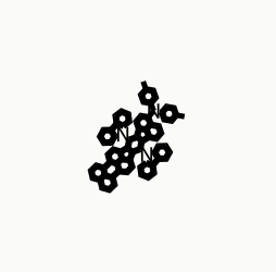 Cc1ccc(N(c2ccc(C)cc2)c2ccc3c4c(-n5c6ccccc6c6ccccc65)c5c6ccc7c8cccc9cccc(c%10ccc(c5c(-n5c%11ccccc%11c%11ccccc%115)c4c4cccc2c43)c6c%107)c98)cc1